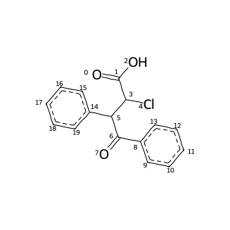 O=C(O)C(Cl)C(C(=O)c1ccccc1)c1ccccc1